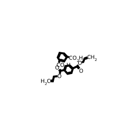 C=CCOC(=O)c1ccc(C(=O)OCC=C)cc1.O=C(O)c1cccc(C(=O)O)c1